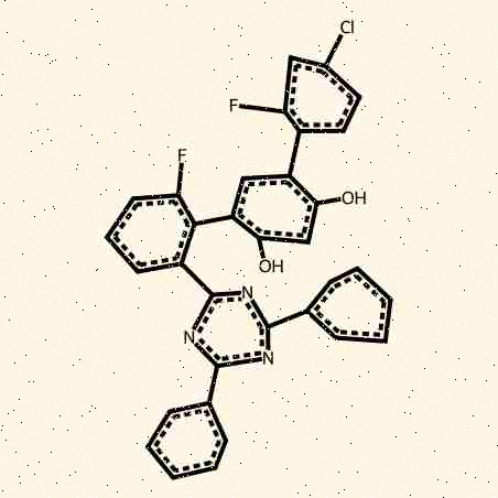 Oc1cc(O)c(-c2c(F)cccc2-c2nc(-c3ccccc3)nc(-c3ccccc3)n2)cc1-c1ccc(Cl)cc1F